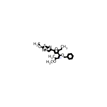 C=C(/C=C(/OCc1ccccc1)c1cc(-c2cn3nc(OC)sc3n2)oc1CC)OC